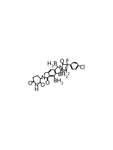 Bc1c(C(B)N(B)C(=O)C(F)(F)c2ccc(Cl)cc2)cc2c(c1B)C(=O)N(C1CCC(=O)NC1=O)C2